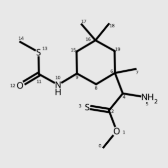 COC(=S)C(N)C1(C)CC(NC(=O)SC)CC(C)(C)C1